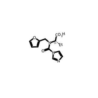 CC[C@@H](C(=O)O)N(Cc1ccco1)C(=O)n1ccnc1